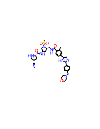 Cc1cc(-c2cnc(-c3ccc(CN4CCOCC4)cc3)[nH]2)ccc1C(=O)NC[C@H]1C[C@@H](NC(=O)[C@@H]2C[C@H](C#N)CN2)CN1S(C)(=O)=O